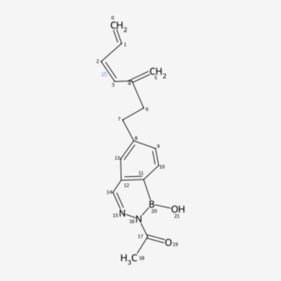 C=C/C=C\C(=C)CCc1ccc2c(c1)C=NN(C(C)=O)B2O